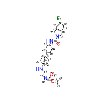 CN(CCNC12CCC(c3ccc(NC(=O)N4Cc5ccc(F)cc5C4)cc3)(CC1)CC2)C(=O)OC(C)(C)C